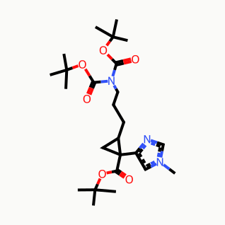 Cn1cnc(C2(C(=O)OC(C)(C)C)CC2CCCN(C(=O)OC(C)(C)C)C(=O)OC(C)(C)C)c1